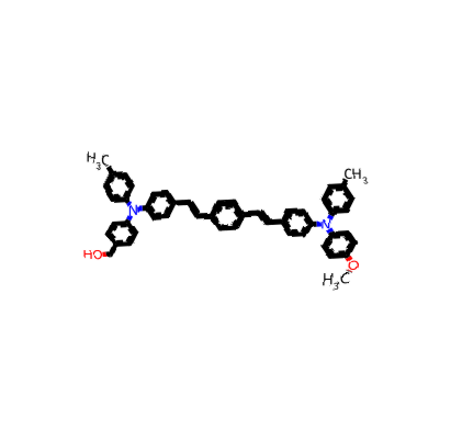 COc1ccc(N(c2ccc(C)cc2)c2ccc(C=Cc3ccc(C=Cc4ccc(N(c5ccc(C)cc5)c5ccc(CO)cc5)cc4)cc3)cc2)cc1